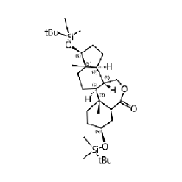 CC(C)(C)[Si](C)(C)O[C@H]1CC[C@@]2(C)C(C1)C(=O)OC[C@H]1[C@@H]3CC[C@H](O[Si](C)(C)C(C)(C)C)[C@@]3(C)CC[C@@H]12